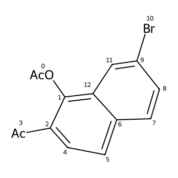 CC(=O)Oc1c(C(C)=O)ccc2ccc(Br)cc12